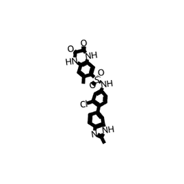 Cc1nc2ccc(-c3ccc(NS(=O)(=O)c4cc5[nH]c(=O)c(=O)[nH]c5cc4C)cc3Cl)cc2[nH]1